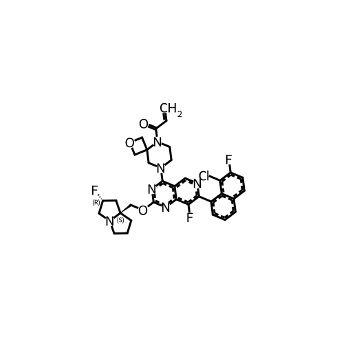 C=CC(=O)N1CCN(c2nc(OC[C@@]34CCCN3C[C@H](F)C4)nc3c(F)c(-c4cccc5ccc(F)c(Cl)c45)ncc23)CC12COC2